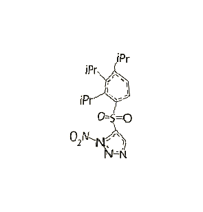 CC(C)c1ccc(S(=O)(=O)c2cnnn2[N+](=O)[O-])c(C(C)C)c1C(C)C